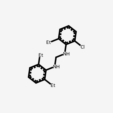 CCc1cccc(Cl)c1NCNc1c(CC)cccc1CC